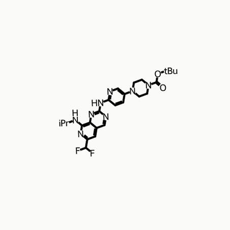 CC(C)Nc1nc(C(F)F)cc2cnc(Nc3ccc(N4CCN(C(=O)OC(C)(C)C)CC4)cn3)nc12